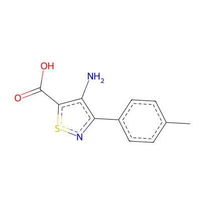 Cc1ccc(-c2nsc(C(=O)O)c2N)cc1